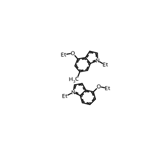 CCOc1cc(C)cc2c1ccn2CC.CCOc1cccc2c1ccn2CC